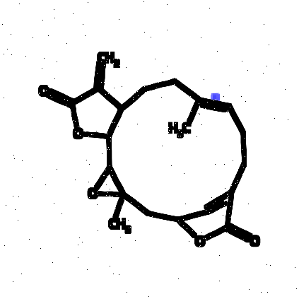 C=C1C(=O)OC2C1CC/C(C)=C/CCC1=CC(CC3(C)OC23)OC1=O